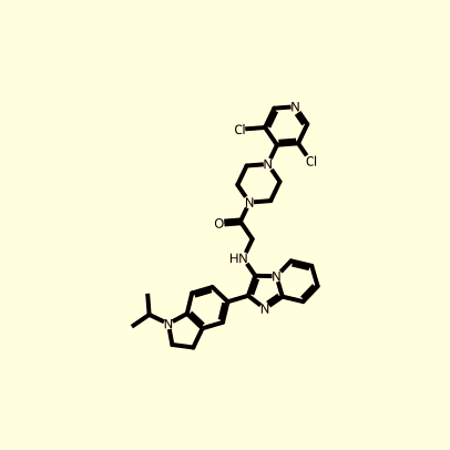 CC(C)N1CCc2cc(-c3nc4ccccn4c3NCC(=O)N3CCN(c4c(Cl)cncc4Cl)CC3)ccc21